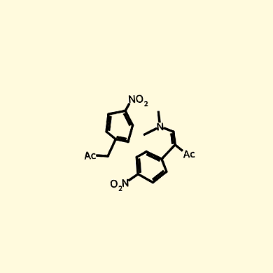 CC(=O)/C(=C/N(C)C)c1ccc([N+](=O)[O-])cc1.CC(=O)Cc1ccc([N+](=O)[O-])cc1